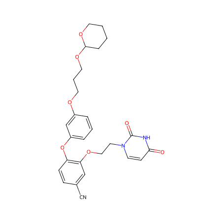 N#Cc1ccc(Oc2cccc(OCCCOC3CCCCO3)c2)c(OCCn2ccc(=O)[nH]c2=O)c1